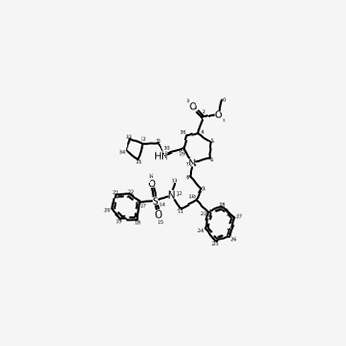 COC(=O)C1CCN(CCC(CN(C)S(=O)(=O)c2ccccc2)c2ccccc2)C(NCC2CCC2)C1